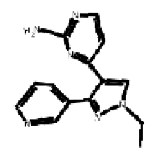 CCn1cc(-c2ccnc(N)n2)c(-c2cccnc2)n1